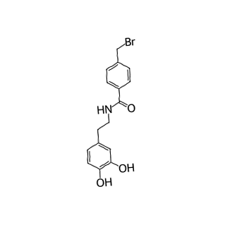 O=C(NCCc1ccc(O)c(O)c1)c1ccc(CBr)cc1